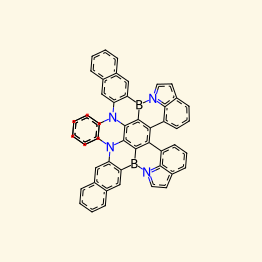 c1ccc(N2c3cc4ccccc4cc3B3c4c(c5c6c(c42)N(c2ccccc2)c2cc4ccccc4cc2B6n2ccc4cccc-5c42)-c2cccc4ccn3c24)cc1